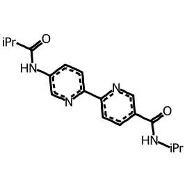 CC(C)NC(=O)c1ccc(-c2ccc(NC(=O)C(C)C)cn2)nc1